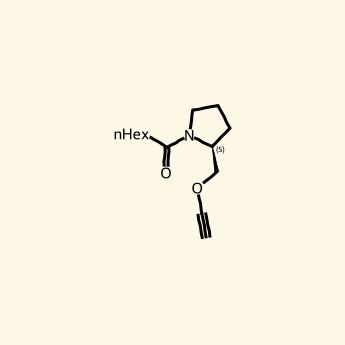 C#COC[C@@H]1CCCN1C(=O)CCCCCC